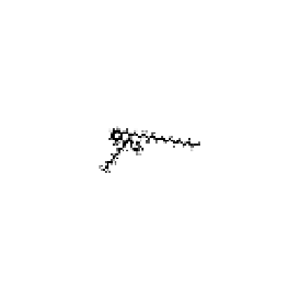 CCCCCCCCCCCCCCCC(Cc1ccccc1)C(CCCCCCCCC)n1ccnc1